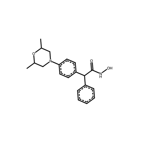 CC1CN(c2ccc(C(C(=O)NO)c3ccccc3)cc2)CC(C)O1